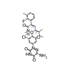 CC/C(C)=C(/C=C(\C(=O)NC)c1cccc(C)c1F)Oc1c(Cl)cc(-n2nc(N)c(=O)[nH]c2=O)cc1Cl